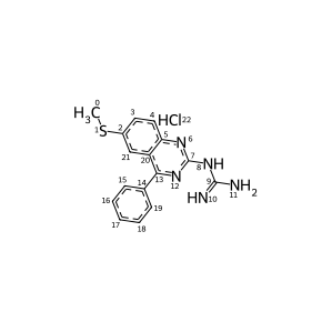 CSc1ccc2nc(NC(=N)N)nc(-c3ccccc3)c2c1.Cl